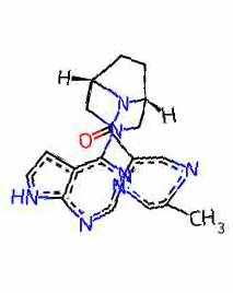 Cc1cnc(C(=O)N2[C@@H]3CC[C@H]2CN(c2ncnc4[nH]ccc24)C3)cn1